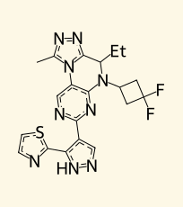 CCC1c2nnc(C)n2-c2cnc(-c3cn[nH]c3-c3nccs3)nc2N1C1CC(F)(F)C1